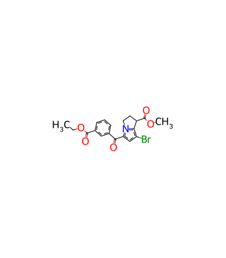 CCOC(=O)c1cccc(C(=O)c2cc(Br)c3n2CCC3C(=O)OC)c1